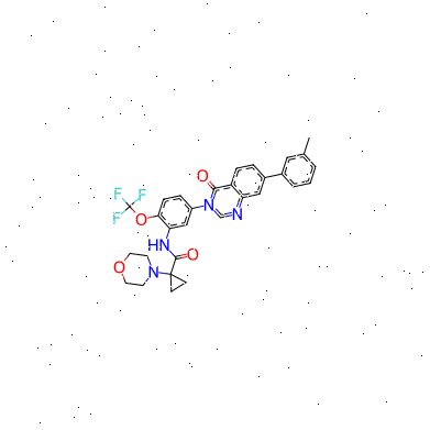 Cc1cccc(-c2ccc3c(=O)n(-c4ccc(OC(F)(F)F)c(NC(=O)C5(N6CCOCC6)CC5)c4)cnc3c2)c1